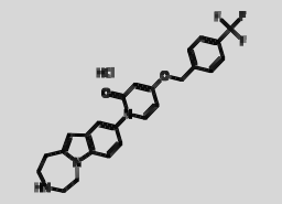 Cl.O=c1cc(OCc2ccc(C(F)(F)F)cc2)ccn1-c1ccc2c(c1)cc1n2CCNCC1